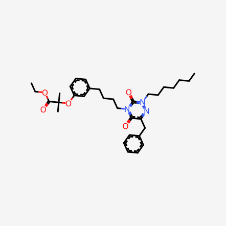 CCCCCCCn1nc(Cc2ccccc2)c(=O)n(CCCCc2cccc(OC(C)(C)C(=O)OCC)c2)c1=O